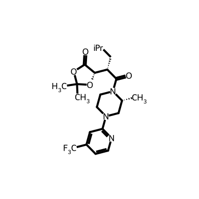 CC(C)C[C@H](C(=O)N1CCN(c2cc(C(F)(F)F)ccn2)C[C@H]1C)[C@@H]1OC(C)(C)OC1=O